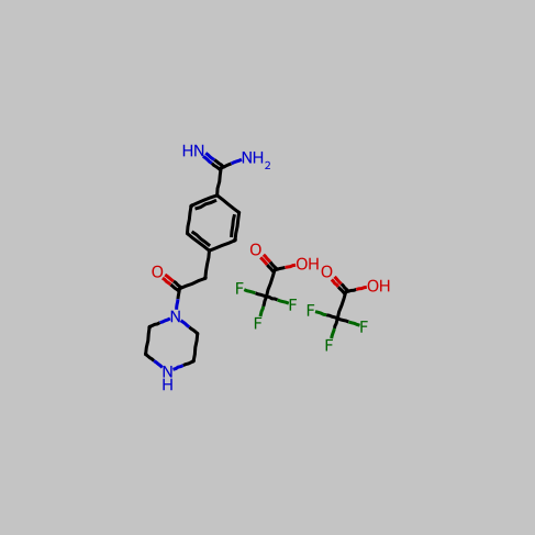 N=C(N)c1ccc(CC(=O)N2CCNCC2)cc1.O=C(O)C(F)(F)F.O=C(O)C(F)(F)F